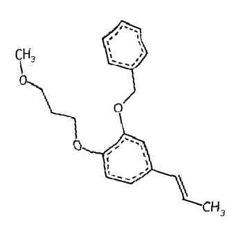 C/C=C/c1ccc(OCCCOC)c(OCc2ccccc2)c1